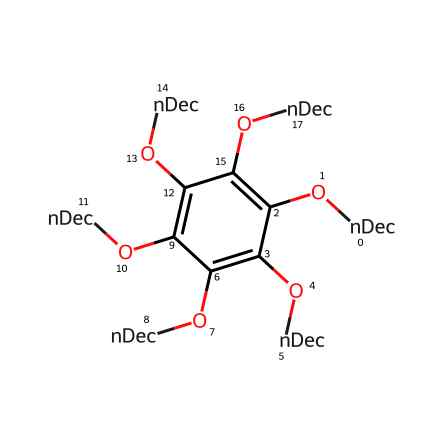 CCCCCCCCCCOc1c(OCCCCCCCCCC)c(OCCCCCCCCCC)c(OCCCCCCCCCC)c(OCCCCCCCCCC)c1OCCCCCCCCCC